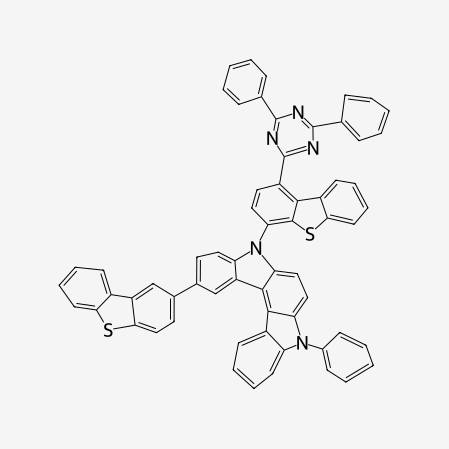 c1ccc(-c2nc(-c3ccccc3)nc(-c3ccc(-n4c5ccc(-c6ccc7sc8ccccc8c7c6)cc5c5c6c7ccccc7n(-c7ccccc7)c6ccc54)c4sc5ccccc5c34)n2)cc1